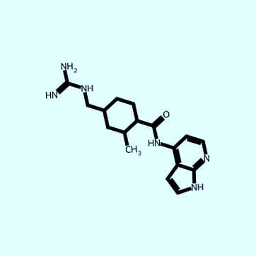 CC1CC(CNC(=N)N)CCC1C(=O)Nc1ccnc2[nH]ccc12